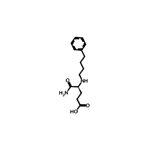 NC(=O)[C@H](CCC(=O)O)NCCCCc1ccccc1